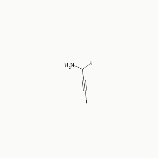 NC(I)C#CI